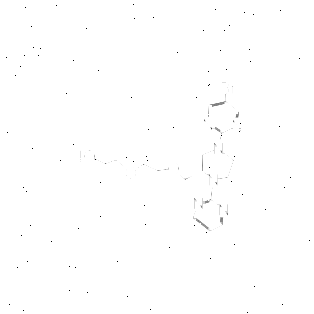 OCCOCCOC[C@H]1CN(c2ncc(Br)cn2)CCN1c1ncccn1